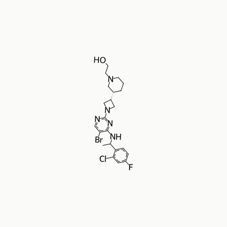 CC(Nc1nc(N2CC([C@H]3CCCN(CCO)C3)C2)ncc1Br)c1ccc(F)cc1Cl